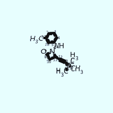 Cc1cccc(NN2C(=O)CC2C#C[Si](C)(C)C)c1